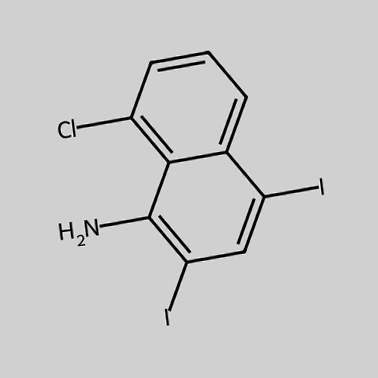 Nc1c(I)cc(I)c2cccc(Cl)c12